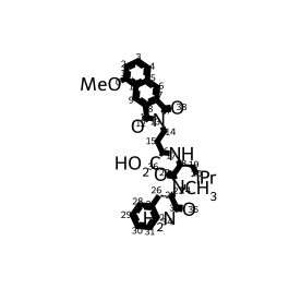 COc1cccc2cc3c(cc12)C(=O)N(CC[C@@H](N[C@@H](CC(C)C)C(=O)N(C)[C@@H](Cc1ccccc1)C(N)=O)C(=O)O)C3=O